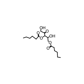 CCCCCC(=O)OCC(O)C(OC(=O)CCCCC)C(=O)CO